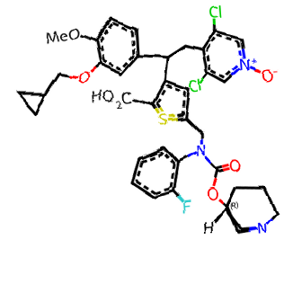 COc1ccc(C(Cc2c(Cl)c[n+]([O-])cc2Cl)c2cc(CN(C(=O)O[C@H]3CN4CCC3CC4)c3ccccc3F)sc2C(=O)O)cc1OCC1CC1